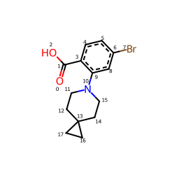 O=C(O)c1ccc(Br)cc1N1CCC2(CC1)CC2